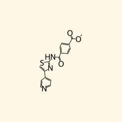 COC(=O)c1ccc(C(=O)Nc2nc(-c3ccncc3)cs2)cc1